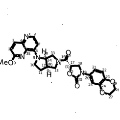 COc1ccc2nccc(N3CC[C@@H]4CN(C(=O)[C@@H]5CN(c6ccc7c(c6)OCCO7)C(=O)O5)C[C@@H]43)c2n1